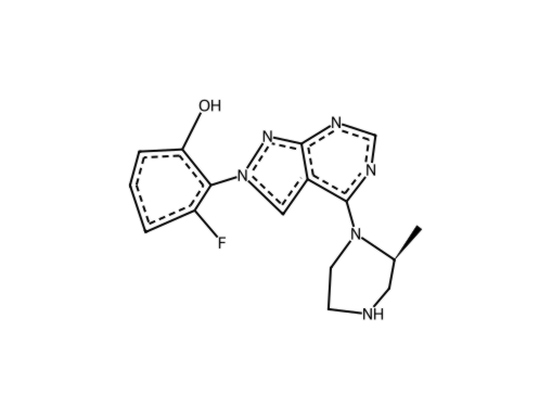 C[C@H]1CNCCN1c1ncnc2nn(-c3c(O)cccc3F)cc12